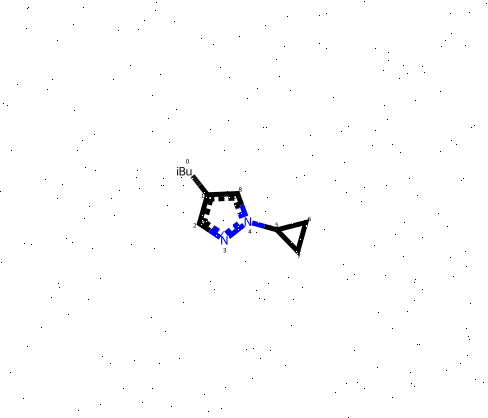 CCC(C)c1cnn(C2CC2)c1